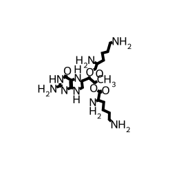 CC(OC(=O)C(N)CCCCN)C(OC(=O)C(N)CCCCN)C1CNc2nc(N)[nH]c(=O)c2N1